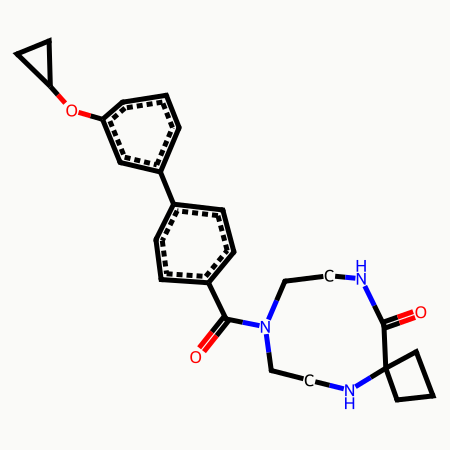 O=C(c1ccc(-c2cccc(OC3CC3)c2)cc1)N1CCNC(=O)C2(CCC2)NCC1